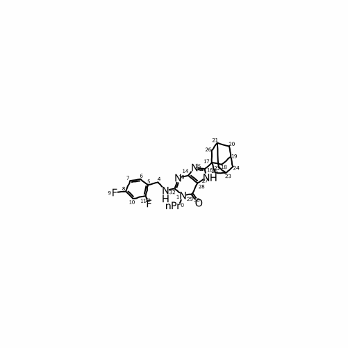 CCCn1c(NCc2ccc(F)cc2F)nc2nc(C34CC5CC(CC(C5)C3)C4)[nH]c2c1=O